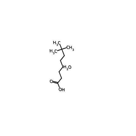 CC(C)(C)CCCCCC(=O)O.O